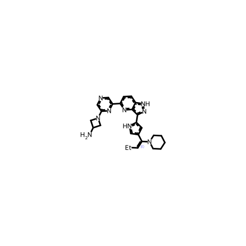 CC/C=C(\c1c[nH]c(-c2n[nH]c3ccc(-c4cncc(N5CC(N)C5)n4)nc23)c1)N1CCCCC1